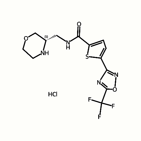 Cl.O=C(NC[C@H]1COCCN1)c1ccc(-c2noc(C(F)(F)F)n2)s1